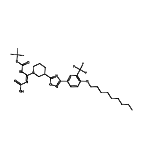 CCCCCCCCCOc1ccc(-c2noc(C3CCCN(C(=NC(=O)O)NC(=O)OC(C)(C)C)C3)n2)cc1C(F)(F)F